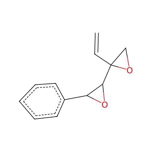 C=CC1(C2OC2c2ccccc2)CO1